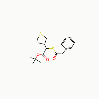 CC(C)(C)OC(=O)C(SC(=O)Cc1ccccc1)C1CCSC1